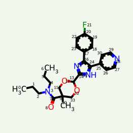 CCCN(CCC)C(=O)C1(C)COC(c2nc(-c3ccc(F)cc3)c(-c3ccncc3)[nH]2)OC1